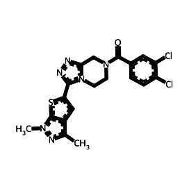 Cc1nn(C)c2sc(-c3nnc4n3CCN(C(=O)c3ccc(Cl)c(Cl)c3)C4)cc12